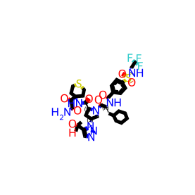 CC(C)(O)c1cnnn1[C@H]1C[C@@H](C(=O)NC2(C(=O)C(N)=O)CCSCC2)N(C(=O)[C@@H](CC2CCCCC2)NC(=O)c2ccc(S(=O)(=O)NCC(F)(F)F)cc2)C1